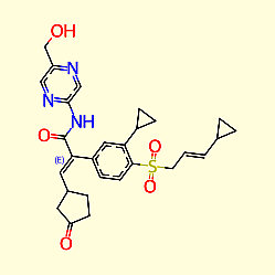 O=C1CCC(/C=C(/C(=O)Nc2cnc(CO)cn2)c2ccc(S(=O)(=O)CC=CC3CC3)c(C3CC3)c2)C1